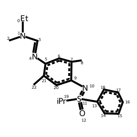 CCN(C)/C=N/c1cc(C)c(N=S(=O)(c2ccccc2)C(C)C)cc1C